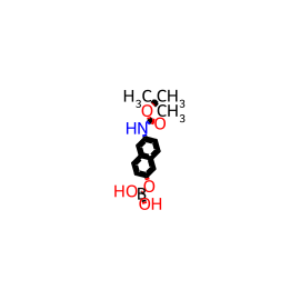 CC(C)(C)OC(=O)Nc1ccc2cc(OB(O)O)ccc2c1